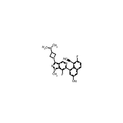 C#Cc1c(F)ccc2cc(O)cc(-c3ncc4c(N5CC(N(C)C)C5)nn(C)c4c3F)c12